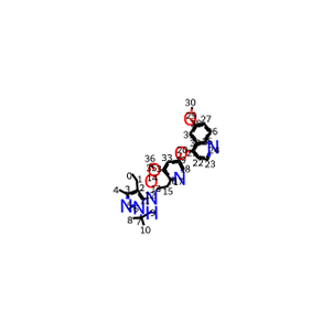 CCc1c(C)nn(C(C)(C)C)c1NC(=O)Cc1ncc(Oc2ccnc3ccc(OC)cc23)cc1OC